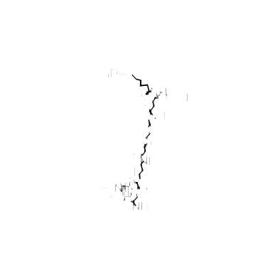 CCCCCCCCCCCCCCCC(=O)NC(CCC(=O)NCCOCCOCCC(=O)NCCCC[C@H](PPSN)C(=O)NCC(N)=O)C(=O)O